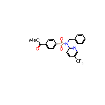 COC(=O)c1ccc(S(=O)(=O)N(Cc2ccccc2)c2ccc(C(F)(F)F)cn2)cc1